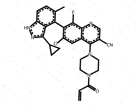 C=CC(=O)N1CCN(c2c(C#N)cnc3c(F)c(-c4c(C)ccc5[nH]nc(C6CC6)c45)c(Cl)cc23)CC1